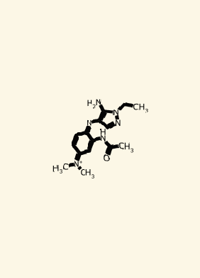 CCn1ncc(/N=C2/C=CC(=[N+](C)C)C=C2NC(C)=O)c1N